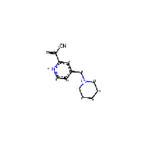 C=C(C#N)c1cc(CN2CCCCC2)ccn1